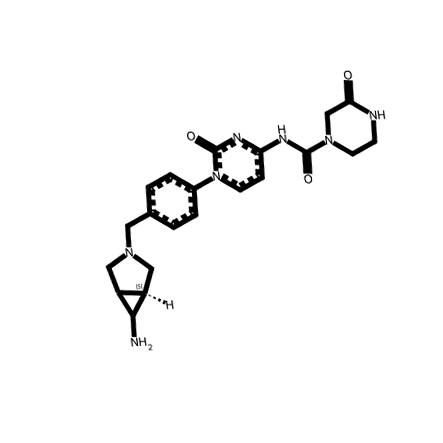 NC1C2CN(Cc3ccc(-n4ccc(NC(=O)N5CCNC(=O)C5)nc4=O)cc3)C[C@@H]12